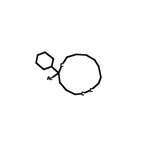 CC(=O)C1(C2CCCCC2)CCCCCCCCCCCCC1